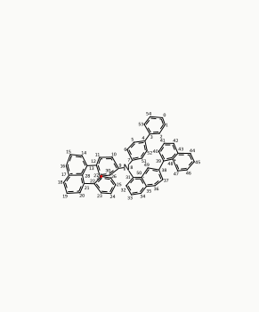 c1ccc(-c2ccc(N(c3ccc(-c4cccc5cccc(-c6ccccc6)c45)cc3)c3cccc4ccc(-c5cccc6ccccc56)cc34)cc2)cc1